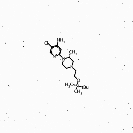 CC1CN(CCO[Si](C)(C)C(C)(C)C)CCN1c1cc(N)c(Cl)cn1